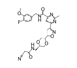 COc1cc(CNC(=O)c2cc(C3=NO[C@H]([C@H]4CO[C@H](CNC(=O)CC#N)CO4)C3)nc(C)n2)ccc1F